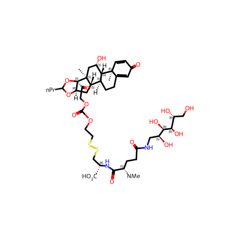 CCCC1O[C@@H]2C[C@H]3[C@@H]4CCC5=CC(=O)C=C[C@]5(C)[C@H]4[C@@H](O)C[C@]3(C)[C@]2(C(=O)COC(=O)OCCSSC[C@H](NC(=O)[C@H](CCC(=O)NC[C@H](O)[C@@H](O)[C@H](O)[C@H](O)CO)NC)C(=O)O)O1